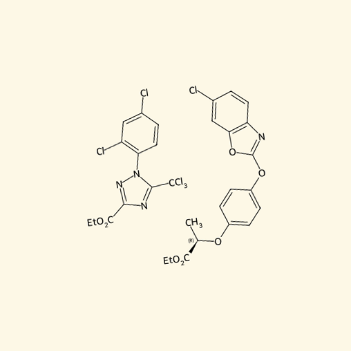 CCOC(=O)[C@@H](C)Oc1ccc(Oc2nc3ccc(Cl)cc3o2)cc1.CCOC(=O)c1nc(C(Cl)(Cl)Cl)n(-c2ccc(Cl)cc2Cl)n1